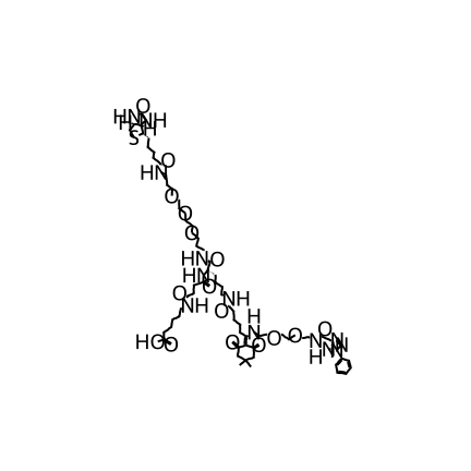 CC1(C)CC(=O)C(=C(CCCCC(=O)NCCCC[C@H](NC(=O)CCC(=O)NCCCCCC(=O)O)C(=O)NCCCOCCOCCOCCCNC(=O)CCCC[C@@H]2SC[C@@H]3NC(=O)N[C@@H]32)NCCOCCOCCNC(=O)c2nnn(-c3ccccc3)n2)C(=O)C1